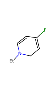 CCN1C=CC(F)=CC1